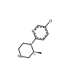 C[C@H]1CNCCN1c1ccc(Cl)cn1